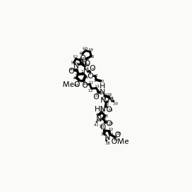 C=CCOC(=O)N1c2cc(OCCCC(=O)Nc3cn(C)c(C(=O)Nc4cc(C(=O)Oc5cc(C(=O)OC)n(C)c5)n(C)c4)n3)c(OC)cc2C(=O)N2CCC[C@H]2C1OC1CCCCO1